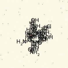 NCCCC[C@@H]1NC(=O)[C@@H](CCCCNC(N)=O)NC(=O)[C@H](Cc2ccc(O)cc2)NC(=O)[C@H](NC(=O)[C@@H](N)Cc2ccc(Cl)cc2)CSSC2[C@@H](C(=O)N[C@H](Cc3ccc(O)cc3)C(N)=O)NC(=O)[C@@H](NC1=O)[C@@H]2O